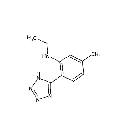 CCNc1cc(C)ccc1-c1nnn[nH]1